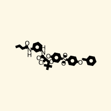 CCCC(=O)Nc1cccc(NC(=O)C(Cl)(Oc2ccc(S(=O)(=O)c3ccc(OCc4ccccc4)cc3)cc2)C(=O)C(C)(C)C)c1